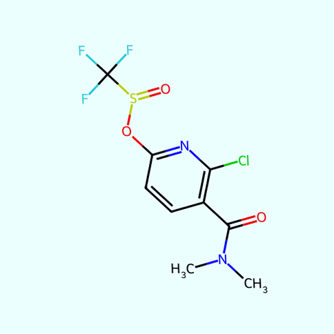 CN(C)C(=O)c1ccc(OS(=O)C(F)(F)F)nc1Cl